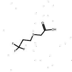 O=C(O)CSCCC(F)(F)F